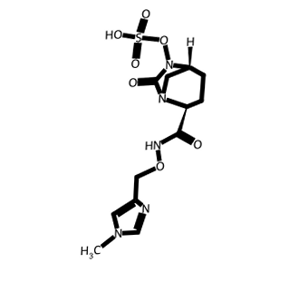 Cn1cnc(CONC(=O)[C@@H]2CC[C@@H]3CN2C(=O)N3OS(=O)(=O)O)c1